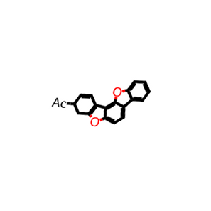 CC(=O)C1C=Cc2c(oc3ccc4c5ccccc5oc4c23)C1